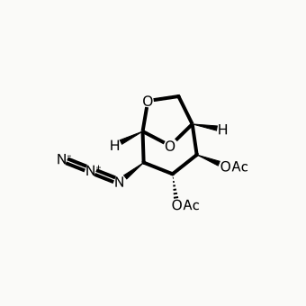 CC(=O)O[C@@H]1[C@@H](N=[N+]=[N-])[C@@H]2OC[C@@H](O2)[C@H]1OC(C)=O